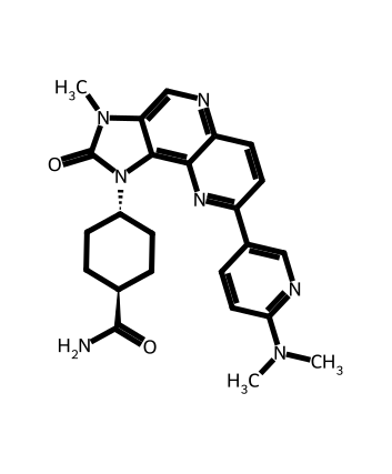 CN(C)c1ccc(-c2ccc3ncc4c(c3n2)n([C@H]2CC[C@H](C(N)=O)CC2)c(=O)n4C)cn1